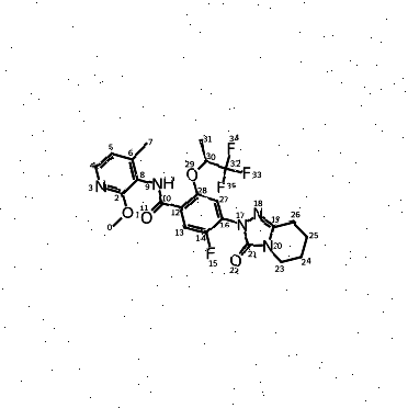 COc1nccc(C)c1NC(=O)c1cc(F)c(-n2nc3n(c2=O)CCCC3)cc1O[C@@H](C)C(F)(F)F